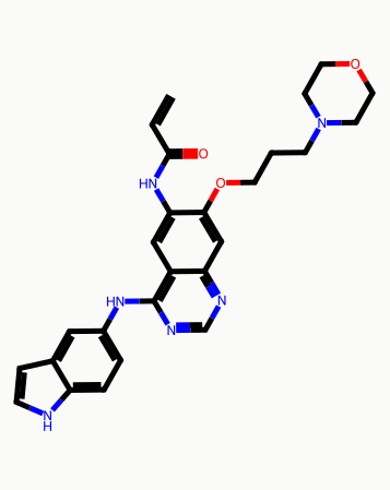 C=CC(=O)Nc1cc2c(Nc3ccc4[nH]ccc4c3)ncnc2cc1OCCCN1CCOCC1